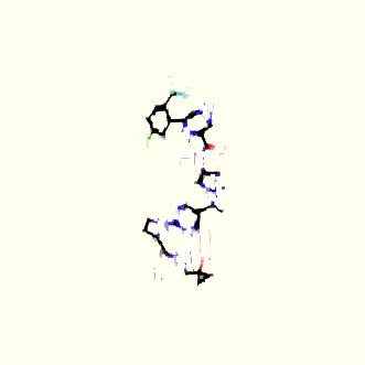 CC(c1cnc(N2CCC2[C@@H](C)NCC2(O)CC2)nc1)n1cc(NC(=O)c2cncc(-c3c(C(F)F)ccc(Cl)c3F)n2)cn1